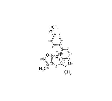 C=C1Oc2ccc(-c3ccc(OC(F)(F)F)cc3)nc2N1Cc1c(C)noc1C